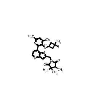 Cc1cc(C)c(NC2CC(P)(I)C2)c(-c2ccnc3cc(CN4C(=O)C(C)C(C)(C)C4=O)sc23)n1